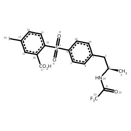 C[C@H](Cc1ccc(S(=O)(=O)c2ccc(I)cc2C(=O)O)cc1)NC(=O)C(F)(F)F